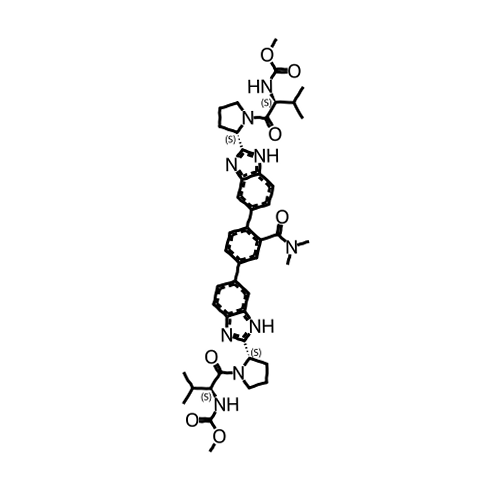 COC(=O)N[C@H](C(=O)N1CCC[C@H]1c1nc2cc(-c3ccc(-c4ccc5nc([C@@H]6CCCN6C(=O)[C@@H](NC(=O)OC)C(C)C)[nH]c5c4)cc3C(=O)N(C)C)ccc2[nH]1)C(C)C